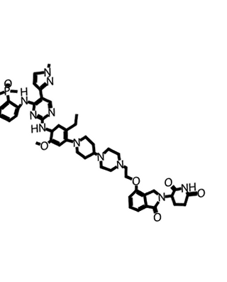 CCC1=C(N2CCC(N3CCN(CCOc4cccc5c4CN(C4CCC(=O)NC4=O)C5=O)CC3)CC2)C=C(OC)C(Nc2ncc(-c3ccn(C)n3)c(Nc3ccccc3P(C)(C)=O)n2)C1